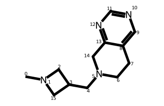 CN1CC(CN2CCc3cncnc3C2)C1